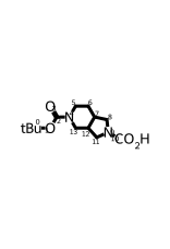 CC(C)(C)OC(=O)N1CCC2CN(C(=O)O)CC2C1